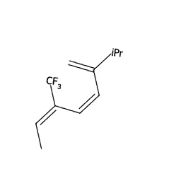 C=C(/C=C\C(=C/C)C(F)(F)F)C(C)C